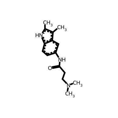 Cc1[nH]c2ccc(NC(=O)CCN(C)C)cc2c1C